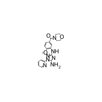 COc1ccc(C(=O)N2CCOCC2)cc1Nc1nc(N)n(-c2ccccn2)n1